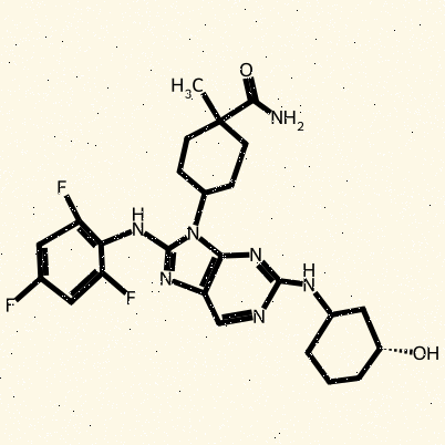 CC1(C(N)=O)CCC(n2c(Nc3c(F)cc(F)cc3F)nc3cnc(NC4CCC[C@@H](O)C4)nc32)CC1